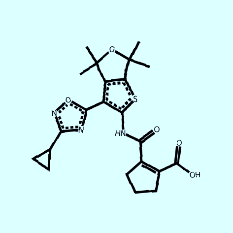 CC1(C)OC(C)(C)c2c1sc(NC(=O)C1=C(C(=O)O)CCC1)c2-c1nc(C2CC2)no1